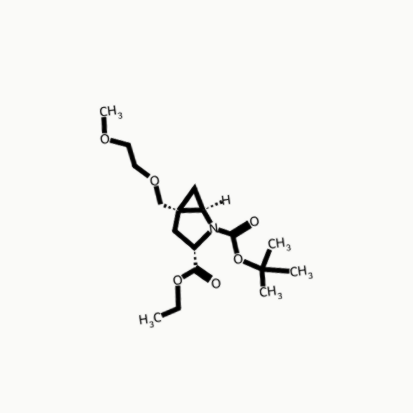 CCOC(=O)[C@@H]1C[C@@]2(COCCOC)C[C@H]2N1C(=O)OC(C)(C)C